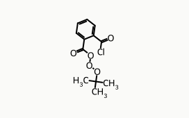 CC(C)(C)OOOC(=O)c1ccccc1C(=O)Cl